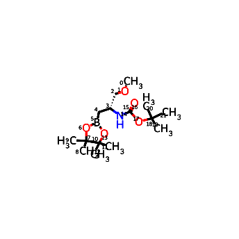 COC[C@@H](CB1OC(C)(C)C(C)(C)O1)NC(=O)OC(C)(C)C